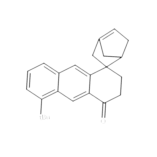 CC(C)(C)c1cccc2cc3c(cc12)C(=O)CCC31CC2=CCC1C2